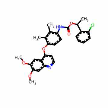 COc1cc2nccc(Oc3ccc(NC(=O)OC(C)c4ccccc4Cl)c(C)c3C)c2cc1OC